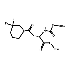 CC(C)(C)OC(=O)N[C@@H](CC(=O)N1CCCC(F)(F)C1)C(=O)OC(C)(C)C